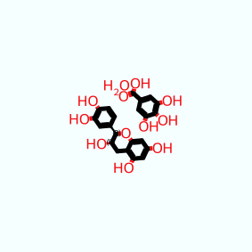 O.O=C(O)c1cc(O)c(O)c(O)c1.Oc1cc(O)c2c(c1)O[C@H](c1ccc(O)c(O)c1)[C@H](O)C2